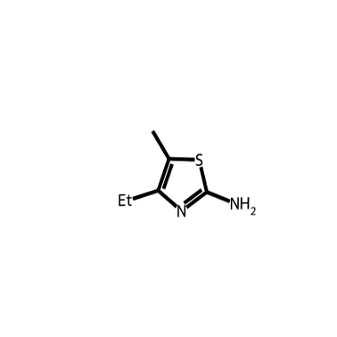 [CH2]Cc1nc(N)sc1C